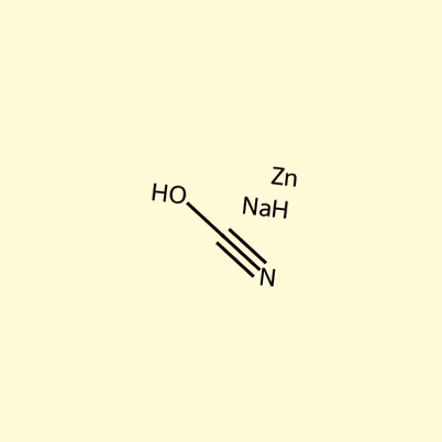 N#CO.[NaH].[Zn]